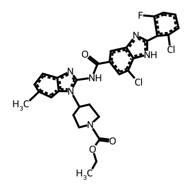 CCOC(=O)N1CCC(n2c(NC(=O)c3cc(Cl)c4[nH]c(-c5c(F)cccc5Cl)nc4c3)nc3ccc(C)cc32)CC1